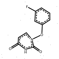 O=c1ccn(Oc2cccc(F)c2)c(=O)[nH]1